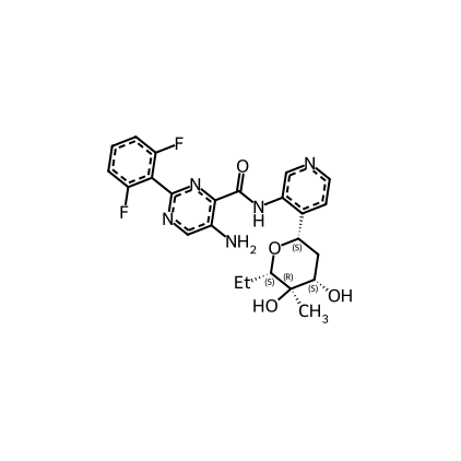 CC[C@@H]1O[C@H](c2ccncc2NC(=O)c2nc(-c3c(F)cccc3F)ncc2N)C[C@H](O)[C@@]1(C)O